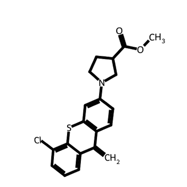 C=C1c2ccc(N3CCC(C(=O)OC)C3)cc2Sc2c(Cl)cccc21